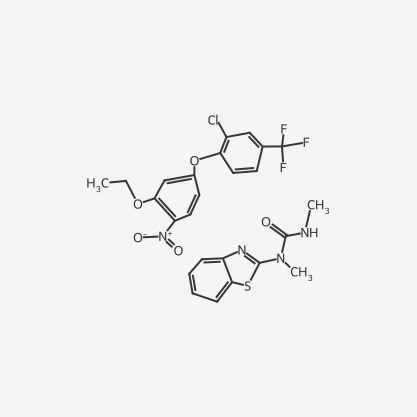 CCOc1cc(Oc2ccc(C(F)(F)F)cc2Cl)ccc1[N+](=O)[O-].CNC(=O)N(C)c1nc2ccccc2s1